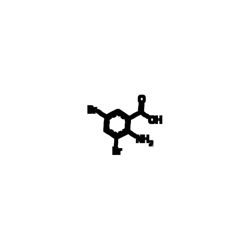 Nc1c(Br)cc(Br)cc1C(=O)O